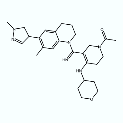 CC(=O)N1CCC(NC2CCOCC2)=C(C(=N)N2CCCc3cc(C4C=NN(C)C4)c(C)cc32)C1